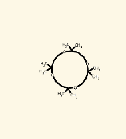 CC1(C)CCOC(C)(C)CCOC(C)(C)CCOC(C)(C)CCO1